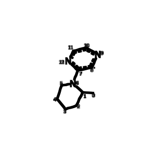 CC1CCCCN1c1[c]nccn1